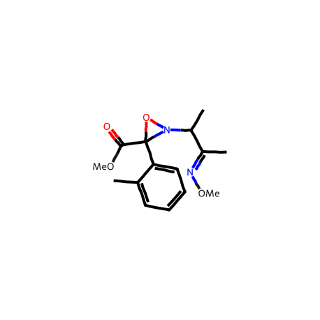 CON=C(C)C(C)N1OC1(C(=O)OC)c1ccccc1C